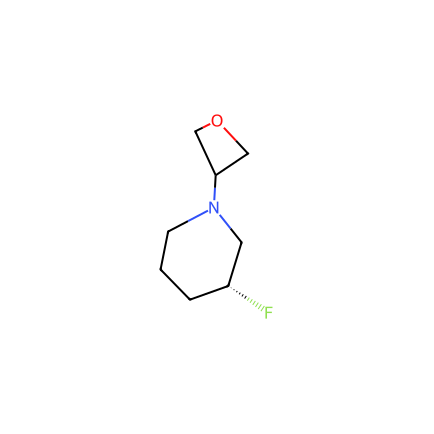 F[C@@H]1CCCN(C2COC2)C1